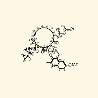 COc1ccc2nc(C)c3c(c2c1)CC[C@]1(C[C@H]2C(=O)N[C@]4(C(=O)NS(=O)(=O)C5(C)CC5)C[C@H]4/C=C\CCCCC[C@H](NC(=O)OC(C)C(C)C)C(=O)N2C1)O3